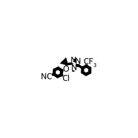 Cn1c(-c2ccccc2C(F)(F)F)nnc1C1(Oc2ccc(C#N)cc2Cl)CC1